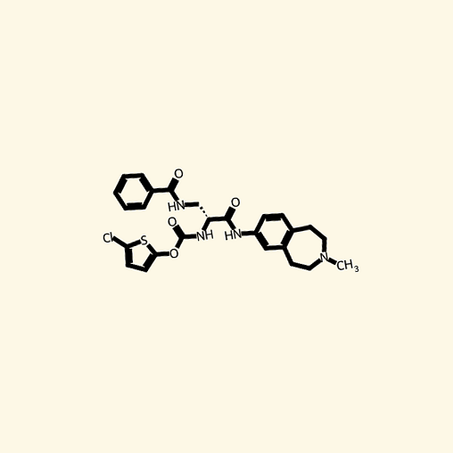 CN1CCc2ccc(NC(=O)[C@@H](CNC(=O)c3ccccc3)NC(=O)Oc3ccc(Cl)s3)cc2CC1